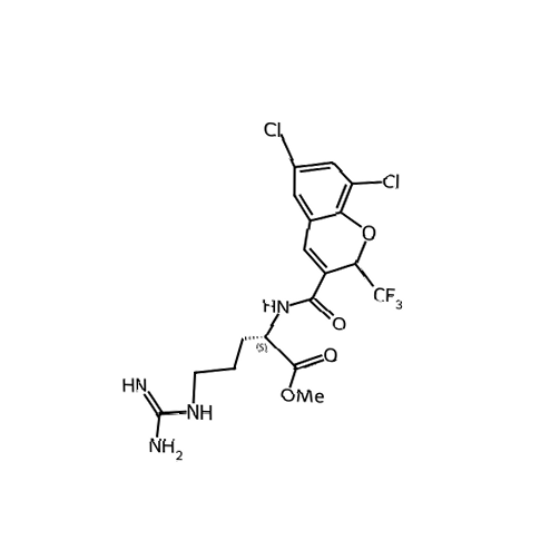 COC(=O)[C@H](CCCNC(=N)N)NC(=O)C1=Cc2cc(Cl)cc(Cl)c2OC1C(F)(F)F